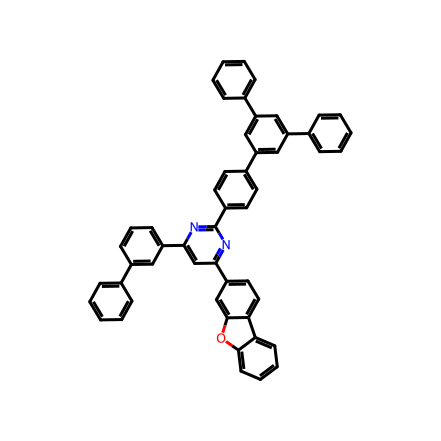 c1ccc(-c2cc(-c3ccccc3)cc(-c3ccc(-c4nc(-c5cccc(-c6ccccc6)c5)cc(-c5ccc6c(c5)oc5ccccc56)n4)cc3)c2)cc1